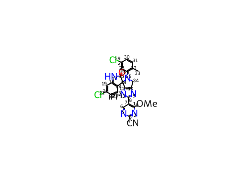 COc1nc(C#N)ncc1-c1nc2c(n1C(C)C)C1(C(=O)Nc3cc(Cl)ccc31)N(c1cc(Cl)ccc1C)C2